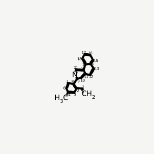 C=Cc1cc(C)ccc1-c1cc2ccc3ccccc3c2cn1